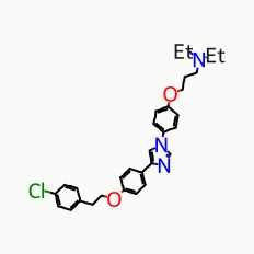 CCN(CC)CCCOc1ccc(-n2cnc(-c3ccc(OCCc4ccc(Cl)cc4)cc3)c2)cc1